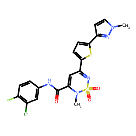 CN1C(C(=O)Nc2ccc(F)c(Cl)c2)=CC(c2ccc(-c3ccn(C)n3)s2)=NS1(=O)=O